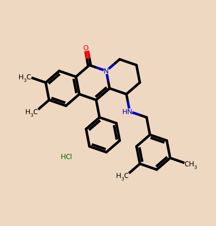 Cc1cc(C)cc(CNC2CCCn3c2c(-c2ccccc2)c2cc(C)c(C)cc2c3=O)c1.Cl